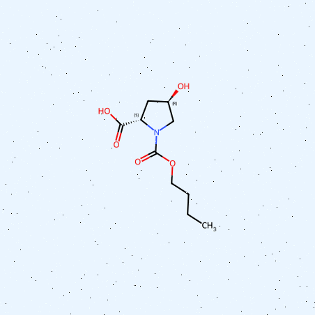 CCCCOC(=O)N1C[C@H](O)C[C@H]1C(=O)O